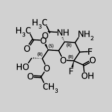 CC(=O)N[C@@H]1C(N)C(F)[C@](F)(C(=O)O)OC1[C@H](OC(C)=O)[C@@H](CO)OC(C)=O